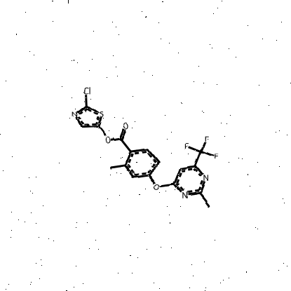 Cc1nc(Oc2ccc(C(=O)Oc3cnc(Cl)s3)c(C)c2)cc(C(F)(F)F)n1